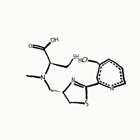 CN(C[C@H]1CSC(c2ncccc2O)=N1)[C@H](CS)C(=O)O